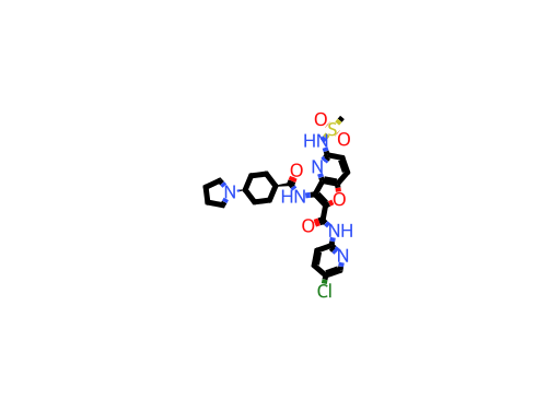 CS(=O)(=O)Nc1ccc2oc(C(=O)Nc3ccc(Cl)cn3)c(NC(=O)[C@H]3CC[C@H](N4CCCC4)CC3)c2n1